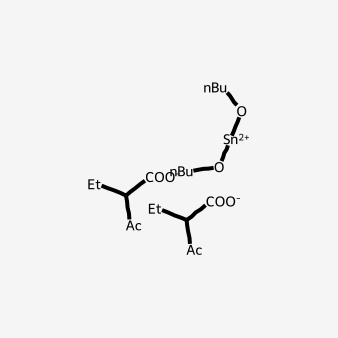 CCC(C(C)=O)C(=O)[O-].CCC(C(C)=O)C(=O)[O-].CCCC[O][Sn+2][O]CCCC